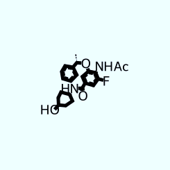 CC(=O)Nc1c(F)cc(C(=O)NC2CCC(O)CC2)cc1O[C@@H](C)c1ccccc1